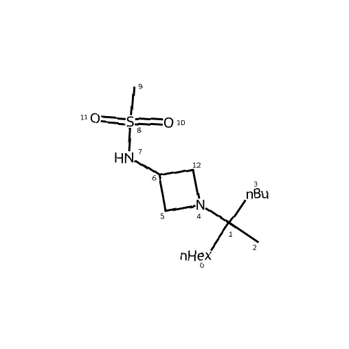 CCCCCCC(C)(CCCC)N1CC(NS(C)(=O)=O)C1